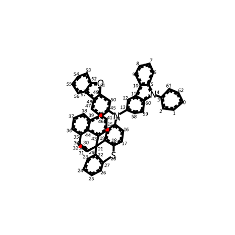 c1ccc(-n2c3ccccc3c3cc(N(c4ccc5c(c4)C4(c6ccccc6S5)c5ccccc5-c5cccc6cccc4c56)c4ccc5c(c4)oc4ccccc45)ccc32)cc1